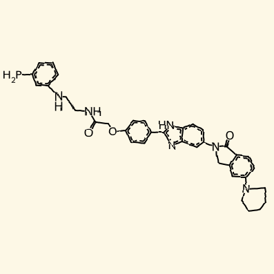 O=C(COc1ccc(-c2nc3cc(N4Cc5cc(N6CCCCC6)ccc5C4=O)ccc3[nH]2)cc1)NCCNc1cccc(P)c1